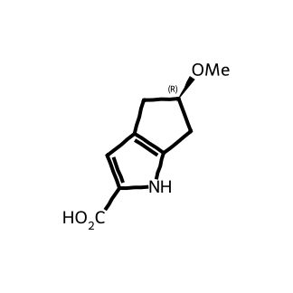 CO[C@@H]1Cc2cc(C(=O)O)[nH]c2C1